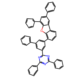 c1ccc(-c2cc(-c3nc(-c4ccccc4)nc(-c4ccccc4)n3)cc(-c3cccc4c3oc3c(-c5ccccc5)cc(-c5ccccc5)cc34)c2)cc1